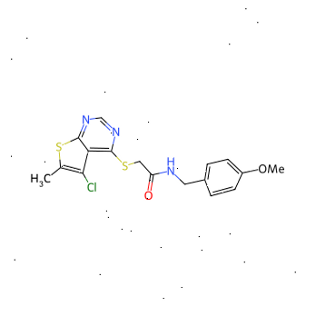 COc1ccc(CNC(=O)CSc2ncnc3sc(C)c(Cl)c23)cc1